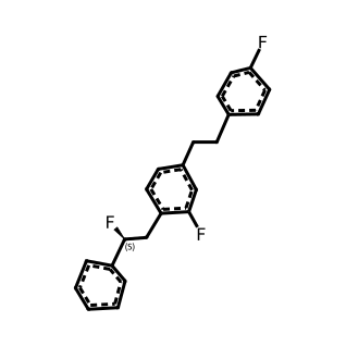 Fc1ccc(CCc2ccc(C[C@H](F)c3ccccc3)c(F)c2)cc1